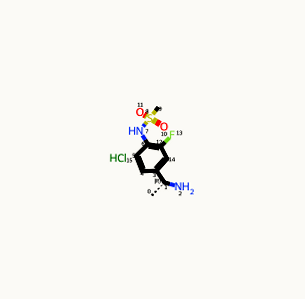 C[C@@H](N)c1ccc(NS(C)(=O)=O)c(F)c1.Cl